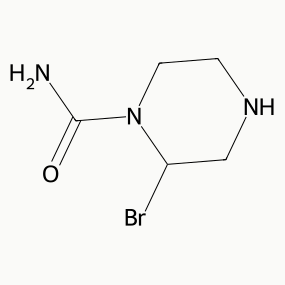 NC(=O)N1CCNCC1Br